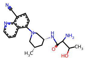 CC(O)C(N)C(=O)N[C@@H]1C[C@H](C)CN(c2ccc(C#N)c3ncccc23)C1